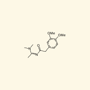 COc1ccc(CC(=O)N=C(C)N(C)C)cc1OC